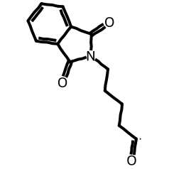 O=[C]CCCCN1C(=O)c2ccccc2C1=O